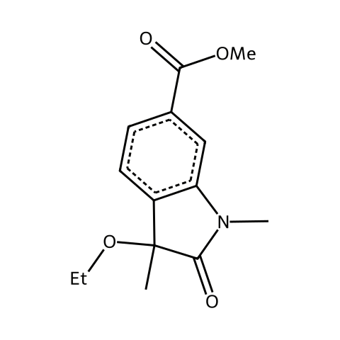 CCOC1(C)C(=O)N(C)c2cc(C(=O)OC)ccc21